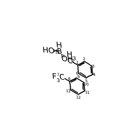 Cc1ccccc1.FC(F)(F)c1ccccc1.OBO